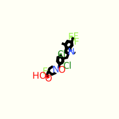 Cc1cc(C(F)(F)F)cc2c1cc(Cc1c(Cl)ccc(C(=O)N3CCC(F)(C(=O)O)CC3)c1Cl)n2C